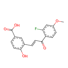 COc1ccc(C(=O)C=Cc2cc(C(=O)O)ccc2O)c(F)c1